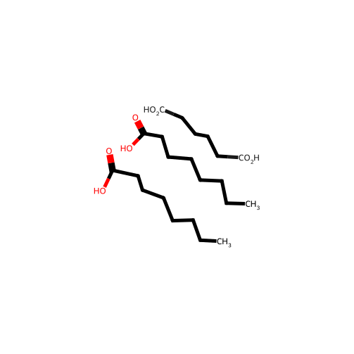 CCCCCCCC(=O)O.CCCCCCCC(=O)O.O=C(O)CCCCC(=O)O